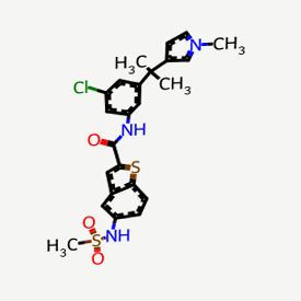 Cn1ccc(C(C)(C)c2cc(Cl)cc(NC(=O)c3cc4cc(NS(C)(=O)=O)ccc4s3)c2)c1